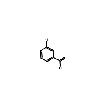 [O]C(=O)c1cccc(Cl)c1